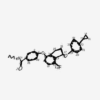 CNC(=O)c1ccc(Oc2ccc(F)c3c2CCC3Oc2ccc(C3CC3)cc2)cc1